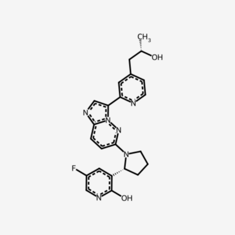 C[C@H](O)Cc1ccnc(-c2cnc3ccc(N4CCC[C@@H]4c4cc(F)cnc4O)nn23)c1